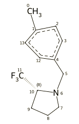 Cc1ccc(CN2CCC[C@@H]2C(F)(F)F)cc1